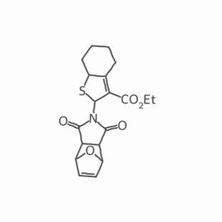 CCOC(=O)C1=C2CCCCC2SC1N1C(=O)C2C3C=CC(O3)C2C1=O